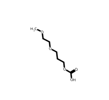 COCCOCCCOC(=O)O